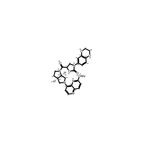 COc1ccc2nccc(N3C[C@H]4CCN(C(=O)C5CN(c6ccc7c(c6)OCCO7)C(=O)O5)[C@H]4C3)c2n1